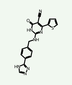 N#Cc1c(-c2cccs2)nc(NCc2ccc(-c3nnc[nH]3)cc2)[nH]c1=O